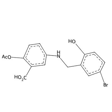 CC(=O)Oc1ccc(NCc2cc(Br)ccc2O)cc1C(=O)O